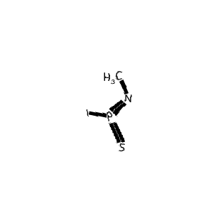 CN=P(=S)I